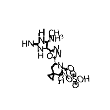 CNC1NC(=N)NC1c1nnc([C@@H]2CC3(CC3)[C@@H]3CN2C(=O)N3OS(=O)(=O)O)o1